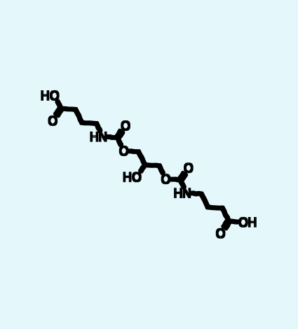 O=C(O)CCCNC(=O)OCC(O)COC(=O)NCCCC(=O)O